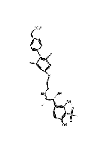 Cc1cc(OCCN[C@@H](C)[C@H](O)c2ccc(O)c(S(C)(=O)=O)c2N)cc(C)c1-c1ccc(CC(=O)O)cc1